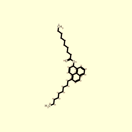 CCCCCCCCCC(=O)OC1C=Cc2c(CCCCCCCCC)ccc3cccc1c23